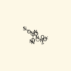 CC(C)(C)OC(=O)N(C1CC1)[C@H]1CCCN(c2ccnc3c2c(-c2ccnnc2)cn3COCC[Si](C)(C)C)C1